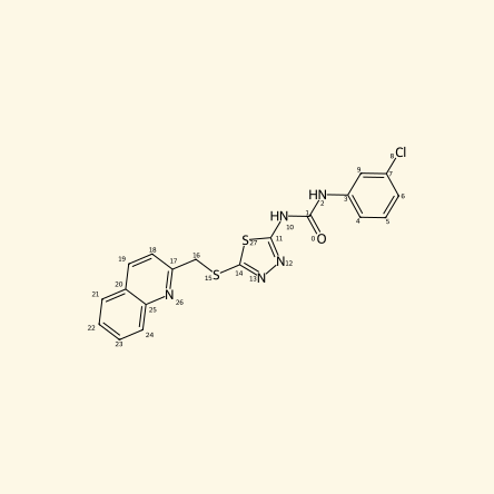 O=C(Nc1cccc(Cl)c1)Nc1nnc(SCc2ccc3ccccc3n2)s1